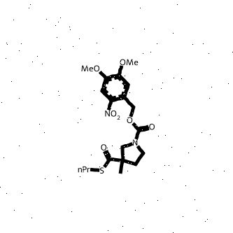 CCCSC(=O)C1(C)CCN(C(=O)OCc2cc(OC)c(OC)cc2[N+](=O)[O-])C1